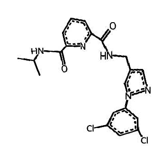 CC(C)NC(=O)c1cccc(C(=O)NCc2cnn(-c3cc(Cl)cc(Cl)c3)c2)n1